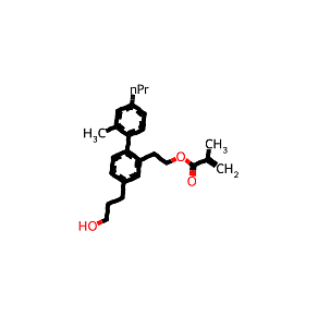 C=C(C)C(=O)OCCc1cc(CCCO)ccc1-c1ccc(CCC)cc1C